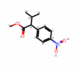 COC(=O)C(c1ccc([N+](=O)[O-])cc1)C(C)C